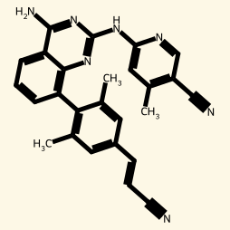 Cc1cc(Nc2nc(N)c3cccc(-c4c(C)cc(C=CC#N)cc4C)c3n2)ncc1C#N